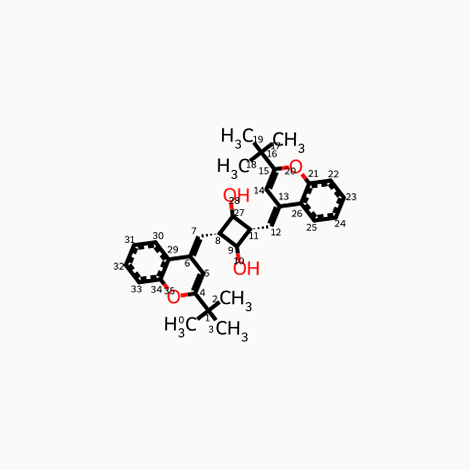 CC(C)(C)C1=C/C(=C\[C@H]2C(O)[C@@H](/C=C3\C=C(C(C)(C)C)Oc4ccccc43)C2O)c2ccccc2O1